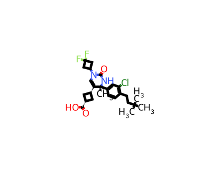 CC(C)(C)CCc1ccc([C@]2(C)NC(=O)N(C3CC(F)(F)C3)C=C2[C@H]2C[C@@H](C(=O)O)C2)cc1Cl